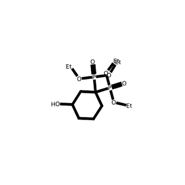 CCOP(=O)(OCC)C1(P(=O)(OCC)OCC)CCCC(O)C1